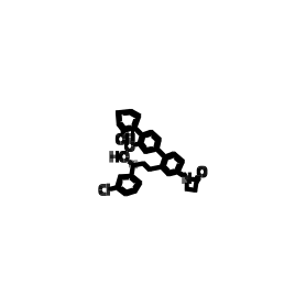 O=C1CCN1c1ccc(-c2ccc(-c3ccccc3O)c(O)c2)c(CC[C@H](O)c2cccc(Cl)c2)c1